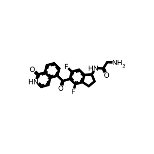 NCC(=O)NC1CCc2c1cc(F)c(C(=O)c1cccc3c(=O)[nH]ccc13)c2F